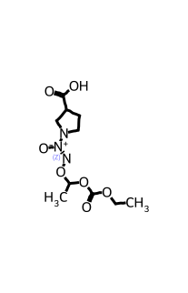 CCOC(=O)OC(C)O/N=[N+](\[O-])N1CCC(C(=O)O)C1